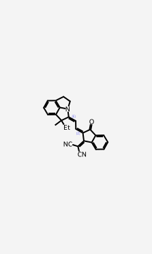 CCC1(C)/C(=C\C=C2/C(=O)c3ccccc3C2=C(C#N)C#N)N2CCc3cccc1c32